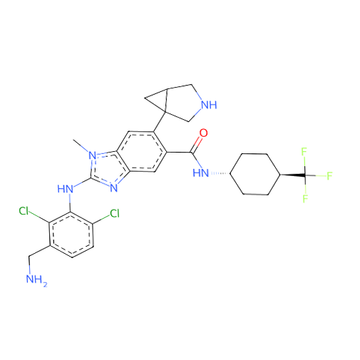 Cn1c(Nc2c(Cl)ccc(CN)c2Cl)nc2cc(C(=O)N[C@H]3CC[C@H](C(F)(F)F)CC3)c(C34CNCC3C4)cc21